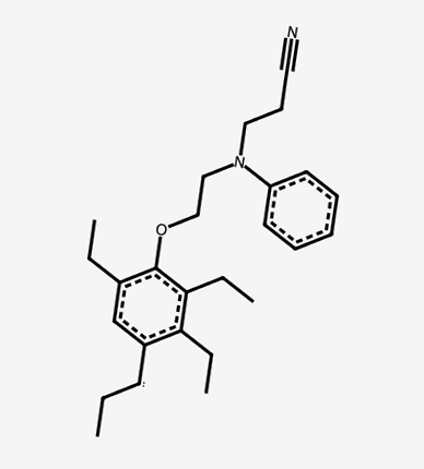 CC[C]c1cc(CC)c(OCCN(CCC#N)c2ccccc2)c(CC)c1CC